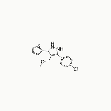 COCC1=C(c2ccc(Cl)cc2)NNC1c1cccs1